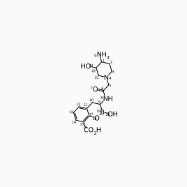 NC1CCN(CC(=O)NC2Cc3cccc(C(=O)O)c3OB2O)CC1O